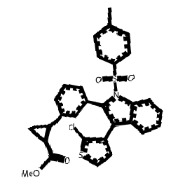 COC(=O)C1CC1c1cccc(-c2c(-c3ccsc3Cl)c3ccccc3n2S(=O)(=O)c2ccc(C)cc2)c1